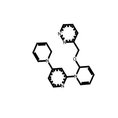 C1=CCN(c2ccnc(N3C=CC=CC3OCc3cccnn3)c2)C=C1